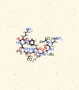 CC[C@H](C)[C@H](NC(=O)[C@@H](NC(=O)[C@H](Cc1ccc(O)cc1)NC(=O)[C@H](CCC(=O)O)NC(=O)[C@H](CC(C)C)NC(=O)[C@@H](NC(=O)[C@@H](N)CCCCN)C(C)C)C(C)C)C(=O)N[C@@H](CCCCN)C(=O)N[C@H](C(=O)O)C(C)C